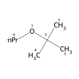 [CH2]C[CH]OC(C)(C)C